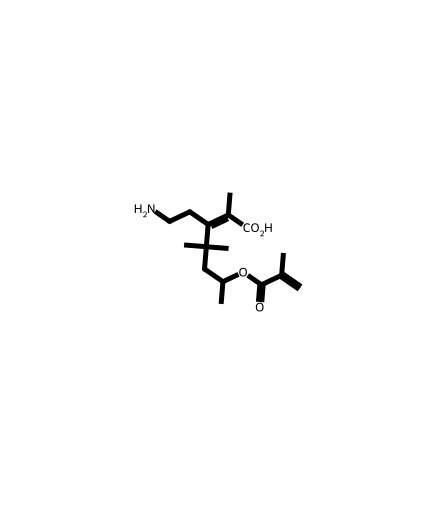 C=C(C)C(=O)OC(C)CC(C)(C)C(CCN)=C(C)C(=O)O